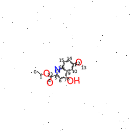 CCOC(=O)c1cc(O)c2cc(OC)ccc2n1